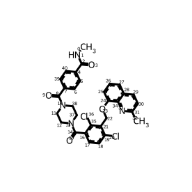 CNC(=O)c1ccc(C(=O)N2CCN(C(=O)c3ccc(Cl)c(COc4cccc5ccc(C)nc45)c3Cl)CC2)cc1